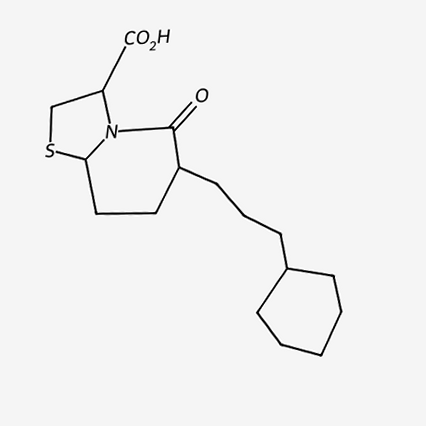 O=C(O)C1CSC2CCC(CCCC3CCCCC3)C(=O)N21